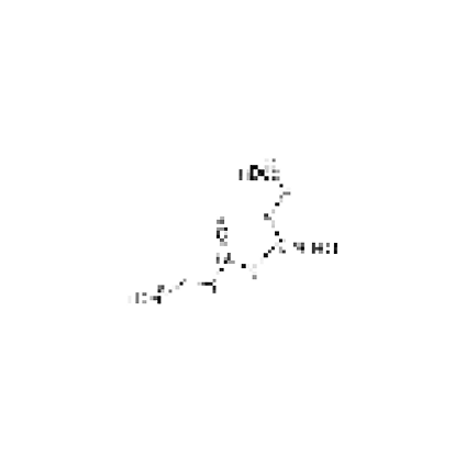 CCCCCCCCCCCCC(=O)[C]C(C=O)CCCCCCCCCCCC